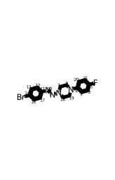 Fc1ccc(N2CCN(N=Nc3ccc(Br)cc3)CC2)cc1